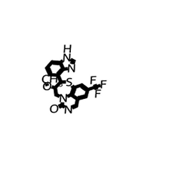 COC1Cn2c(=O)ncc3cc(C(F)(F)F)cc(c32)SC1c1cccc2[nH]cnc12